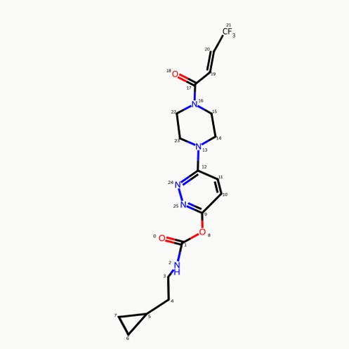 O=C(NCCC1CC1)Oc1ccc(N2CCN(C(=O)C=CC(F)(F)F)CC2)nn1